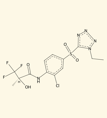 CCn1nnnc1S(=O)(=O)c1ccc(NC(=O)[C@@](C)(O)C(F)(F)F)c(Cl)c1